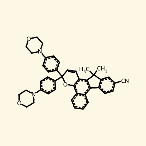 CC1(C)c2cc(C#N)ccc2-c2c1c1c(c3ccccc23)OC(c2ccc(N3CCOCC3)cc2)(c2ccc(N3CCOCC3)cc2)C=C1